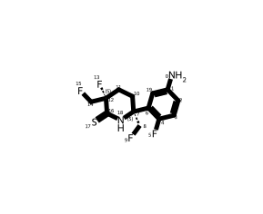 Nc1ccc(F)c([C@]2(CF)CC[C@](F)(CF)C(=S)N2)c1